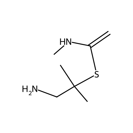 C=C(NC)SC(C)(C)CN